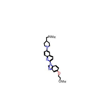 CNCC1CCN(c2ccc3nc(-n4cnc5cc(OCCOC)ccc54)ccc3c2)CC1